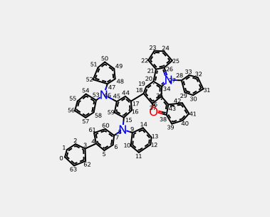 c1ccc(-c2ccc(N(c3ccccc3)c3cc(-c4cc5c6ccccc6n(-c6ccccc6)c5c5c4oc4ccccc45)cc(N(c4ccccc4)c4ccccc4)c3)cc2)cc1